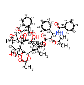 CC(=O)O[C@H]1C(=O)[C@@]2(C)[C@H](C(OC(=O)c3ccccc3)[C@]3(O)C[C@H](OC(=O)[C@H](OC(C)C)[C@@H](NC(=O)c4ccccc4)c4ccccc4)C(C)=C1C3(C)C)[C@]1(OC(C)=O)CO[C@@H]1C[C@@H]2O